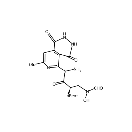 CCCCC[C@H](CN(O)C=O)C(=O)N(N)c1nc(C(C)(C)C)cc2c(=O)[nH][nH]c(=O)c12